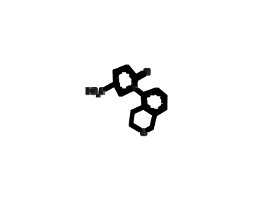 O=C(O)c1ccc(=O)n(-c2cccc3c2CCOC3)c1